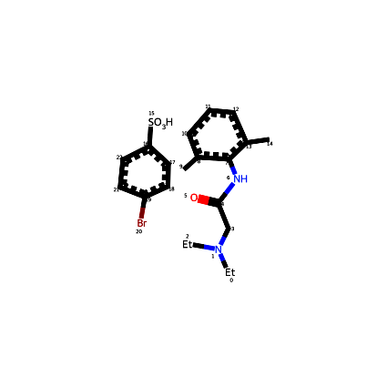 CCN(CC)CC(=O)Nc1c(C)cccc1C.O=S(=O)(O)c1ccc(Br)cc1